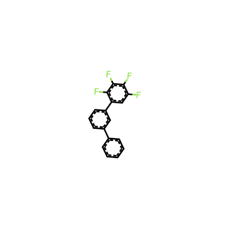 Fc1cc(-c2cccc(-c3ccccc3)c2)c(F)c(F)c1F